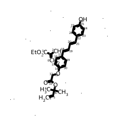 C=C(C)C(=O)OCC.C=CC(C)(C)OC(=O)COc1ccc(C=CC=Cc2ccc(O)cc2)cc1